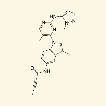 CC#CC(=O)Nc1ccc2c(c1)c(C)cn2-c1nc(Nc2ccnn2C)ncc1C